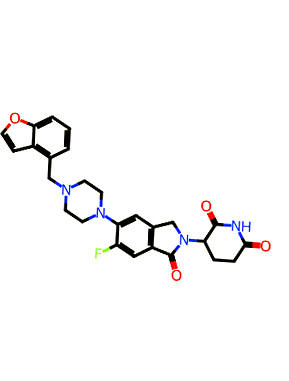 O=C1CCC(N2Cc3cc(N4CCN(Cc5cccc6occc56)CC4)c(F)cc3C2=O)C(=O)N1